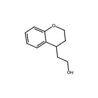 OCCC1CCOc2ccccc21